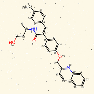 COc1ccc(C=C(C(=O)NC(C)CCO)c2ccc(OCc3ccc4ccccc4n3)cc2)cc1